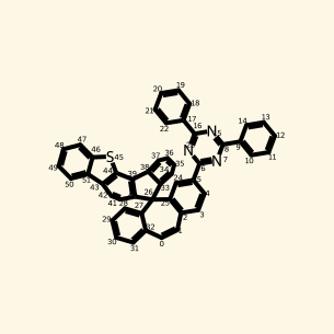 C1=Cc2ccc(-c3nc(-c4ccccc4)nc(-c4ccccc4)n3)cc2C2(c3ccccc31)c1ccccc1-c1c2ccc2c1sc1ccccc12